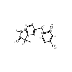 CN1C(=O)C(C)(C)c2cc(Oc3ccc(C(F)(F)F)cc3Cl)ccc21